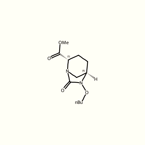 CCCCON1C(=O)N2C[C@H]1CC[C@H]2C(=O)OC